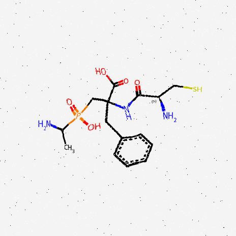 CC(N)P(=O)(O)CC(Cc1ccccc1)(NC(=O)[C@H](N)CS)C(=O)O